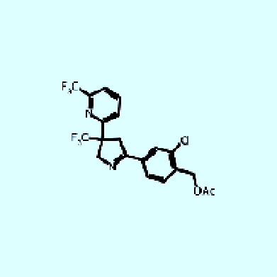 CC(=O)OCc1ccc(C2=NCC(c3cccc(C(F)(F)F)n3)(C(F)(F)F)C2)cc1Cl